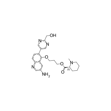 CN1CCCC[C@H]1C(=O)OCCCOc1c(-c2cnc(CO)nc2)ccc2ncc(N)cc12